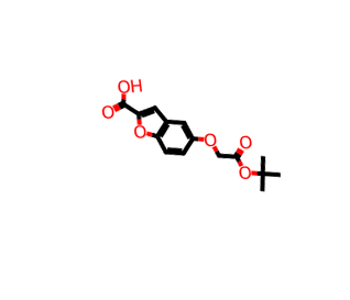 CC(C)(C)OC(=O)COc1ccc2oc(C(=O)O)cc2c1